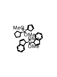 CO[Si](OC)(C1=CC=CC1)C1CCCC1.CO[Si](OC)(C1C=Cc2ccccc21)C1C=Cc2ccccc21